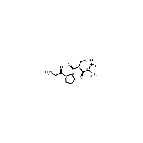 CC[C@H](C)[C@H](N)C(=O)N(C[C]=O)C(=O)[C@@H]1CCCN1C(=O)CN